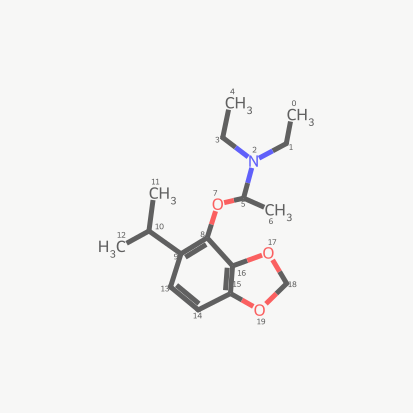 CCN(CC)C(C)Oc1c(C(C)C)ccc2c1OCO2